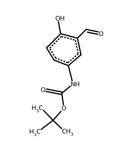 CC(C)(C)OC(=O)Nc1ccc(O)c(C=O)c1